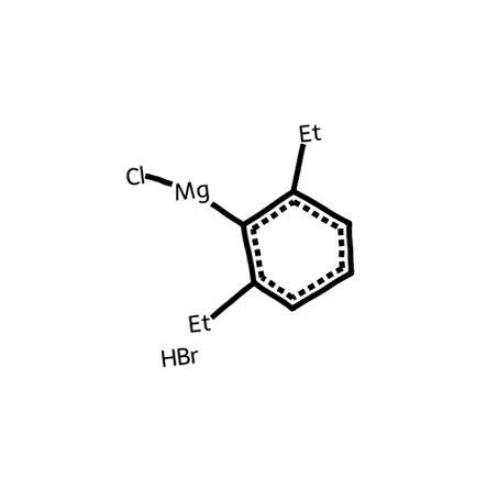 Br.CCc1cccc(CC)[c]1[Mg][Cl]